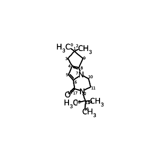 CC1(C)Cc2cc3n(c2C1)CCN(C(C)(C)C)C3=O